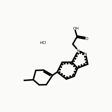 CC1CC=C(c2ccc3cnn(CC(=O)O)c3c2)CC1.Cl